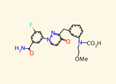 COCCN(C(=O)O)c1cccc(Cc2nn(-c3cc(F)cc(C(N)=O)c3)ccc2=O)c1